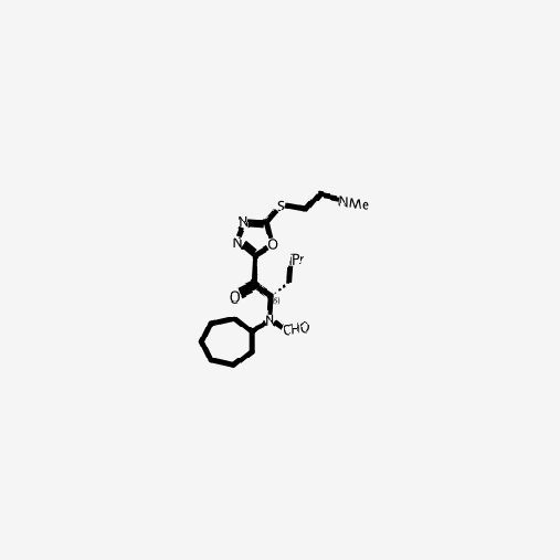 CNCCSc1nnc(C(=O)[C@H](CC(C)C)N(C=O)C2CCCCCC2)o1